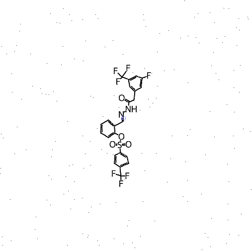 O=C(Cc1cc(F)cc(C(F)(F)F)c1)N/N=C/c1ccccc1OS(=O)(=O)c1ccc(C(F)(F)F)cc1